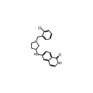 O=c1[nH]ccc2cc(NC3CCN(Cc4ccccc4Cl)C3)ccc12